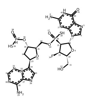 Nc1nc2c(ncn2[C@@H]2O[C@H](CO)[C@@H](F)[C@H]2P(=O)(S)OC[C@H]2O[C@@H](c3cnc4c(N)ncnn34)C[C@@H]2O[PH](=O)S)c(=O)[nH]1